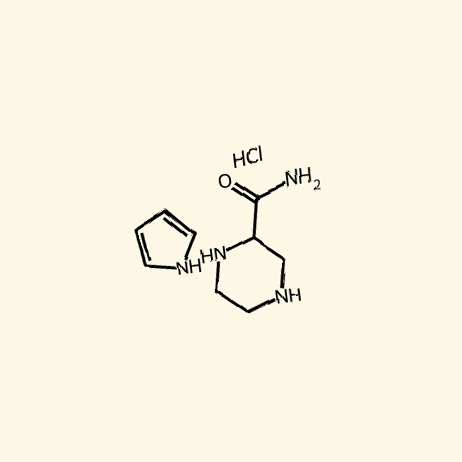 Cl.NC(=O)C1CNCCN1.c1cc[nH]c1